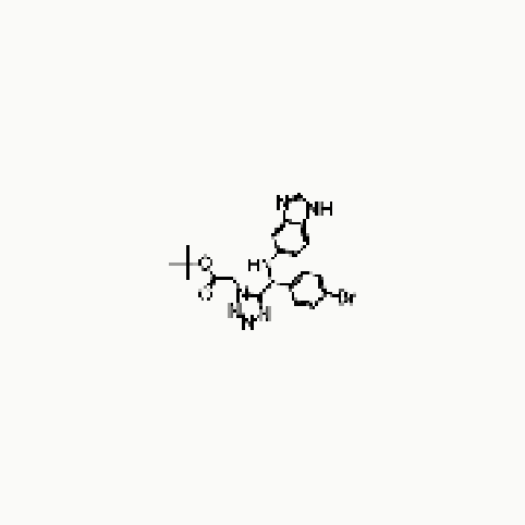 CC(C)(C)OC(=O)Cn1nnnc1C(Nc1ccc2[nH]cnc2c1)c1ccc(Br)cc1